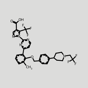 Cc1cccc(-c2ccnc(-n3ncc(C(=O)O)c3C(F)(F)F)n2)c1OCc1ccc(C2CCN(CC(F)(F)F)CC2)cc1